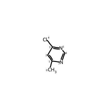 Cc1cc(Cl)n[c]n1